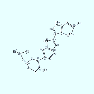 CC[C@@H]1CO[C@H](CN(CC)CC)CN1c1ccc2nc(-c3n[nH]c4cc(F)ccc34)[nH]c2c1